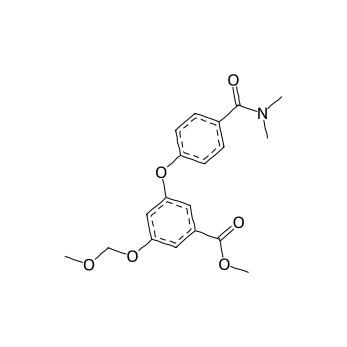 COCOc1cc(Oc2ccc(C(=O)N(C)C)cc2)cc(C(=O)OC)c1